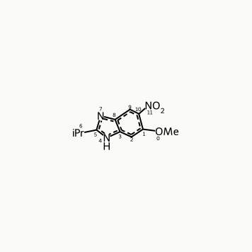 COc1cc2[nH]c(C(C)C)nc2cc1[N+](=O)[O-]